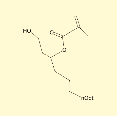 C=C(C)C(=O)OC(CCO)CCCCCCCCCCC